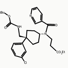 CCOC(=O)CCN(C(=O)c1cccnc1)[C@H]1CC[C@@](CNC(=O)OC(C)(C)C)(c2cccc(Cl)c2)CC1